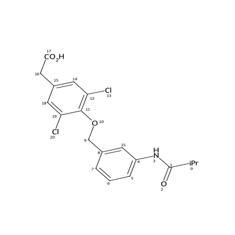 CC(C)C(=O)Nc1cccc(COc2c(Cl)cc(CC(=O)O)cc2Cl)c1